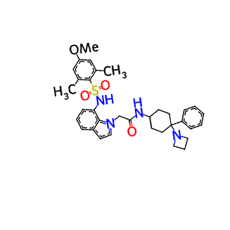 COc1cc(C)c(S(=O)(=O)Nc2cccc3ccn(CC(=O)NC4CCC(c5ccccc5)(N5CCC5)CC4)c23)c(C)c1